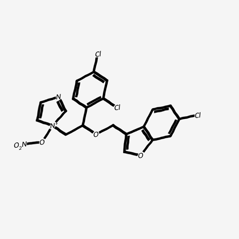 O=[N+]([O-])O[N+]1(CC(OCc2coc3cc(Cl)ccc23)c2ccc(Cl)cc2Cl)C=CN=C1